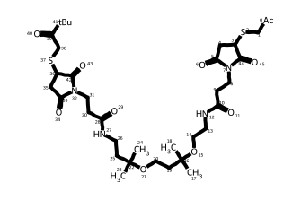 CC(=O)CSC1CC(=O)N(CCC(=O)NCCOC(C)(C)CCOC(C)(C)CCNC(=O)CCN2C(=O)CC(SCC(=O)C(C)(C)C)C2=O)C1=O